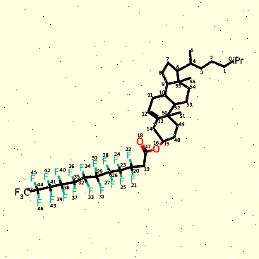 CC(C)CCCC(C)C1CCC2C3CC=C4CC(OC(=O)CC(F)(F)C(F)(F)C(F)(F)C(F)(F)C(F)(F)C(F)(F)C(F)(F)C(F)(F)C(F)(F)C(F)(F)F)CCC4(C)C3CCC12C